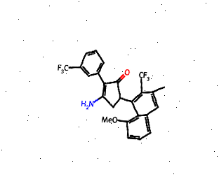 COc1cccc2cc(C)c(C(F)(F)F)c(C3CC(N)=C(c4cccc(C(F)(F)F)c4)C3=O)c12